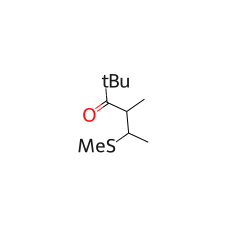 CSC(C)C(C)C(=O)C(C)(C)C